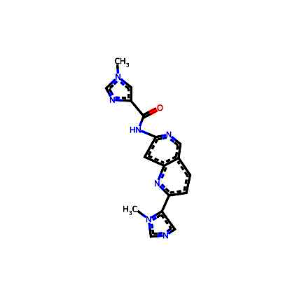 Cn1cnc(C(=O)Nc2cc3nc(-c4cncn4C)ccc3cn2)c1